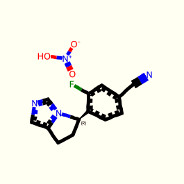 N#Cc1ccc([C@H]2CCc3cncn32)c(F)c1.O=[N+]([O-])O